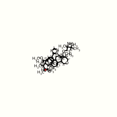 COC(=O)c1cc(-c2ncnn2[C@@H]2C[C@@]34COC[C@](C)([C@@H]3CC[C@H]3C4=CC[C@@]4(C)[C@H](C(=O)O)[C@@](C)([C@H](C)C(C)C)CC[C@]34C)[C@H]2OC[C@](C)(N)C(C)(C)C)ccn1